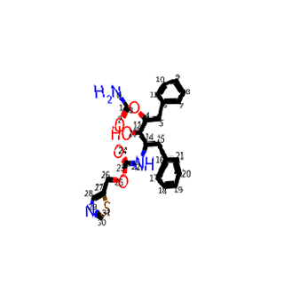 NC(=O)OC(Cc1ccccc1)C(O)C(Cc1ccccc1)NC(=O)OCc1cncs1